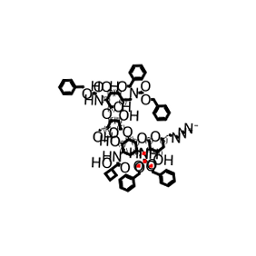 [N-]=[N+]=NC[C@@H]1C[C@@H](O)[C@@H](NC(=O)OCc2ccccc2)[C@@H](O[C@H]2[C@H](O[C@@H]3O[C@H](CO)[C@@H](O[C@H]4O[C@H]5CN(C(=O)OCc6ccccc6)C(c6ccccc6)O[C@H]5[C@H](O)[C@H]4NC(=O)OCc4ccccc4)[C@H]3O)[C@@H](O)[C@H](NC(=O)C3(O)CCC3)C[C@@H]2NC(=O)OCc2ccccc2)O1